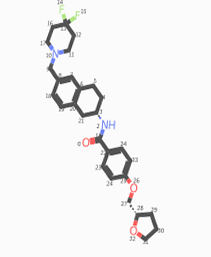 O=C(N[C@H]1CCc2cc(CN3CCC(F)(F)CC3)ccc2C1)c1ccc(OC[C@@H]2CCCO2)cc1